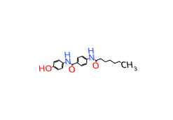 CCCCCCC(=O)Nc1ccc(C(=O)Nc2ccc(O)cc2)cc1